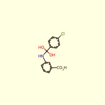 O=C(O)c1cccc(NC(O)(O)c2ccc(Cl)cc2)c1